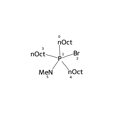 CCCCCCCCP(Br)(CCCCCCCC)(CCCCCCCC)NC